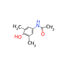 CC(=O)Nc1cc(C)c(O)c(C)c1